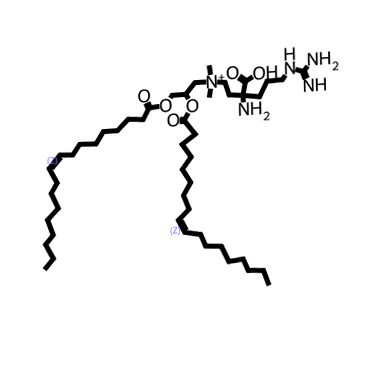 CCCCCCCC/C=C\CCCCCCCC(=O)OCC(C[N+](C)(C)CCC(N)(CCCNC(=N)N)C(=O)O)OC(=O)CCCCCCC/C=C\CCCCCCCC